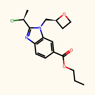 CCCOC(=O)c1ccc2nc([C@H](C)Cl)n(C[C@@H]3CCO3)c2c1